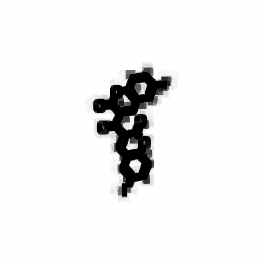 O=C(c1cc2cc(F)ccc2oc1=O)c1cc2cc(F)ccc2oc1=O